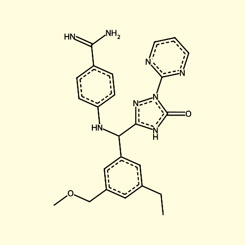 CCc1cc(COC)cc(C(Nc2ccc(C(=N)N)cc2)c2nn(-c3ncccn3)c(=O)[nH]2)c1